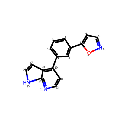 c1cc(-c2ccno2)cc(-c2ccnc3[nH]ccc23)c1